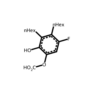 CCCCCCc1c(F)cc(OC(=O)O)c(O)c1CCCCCC